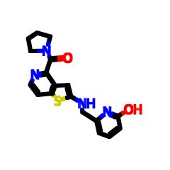 O=C(c1nccc2sc(NCc3cccc(O)n3)cc12)N1CCCC1